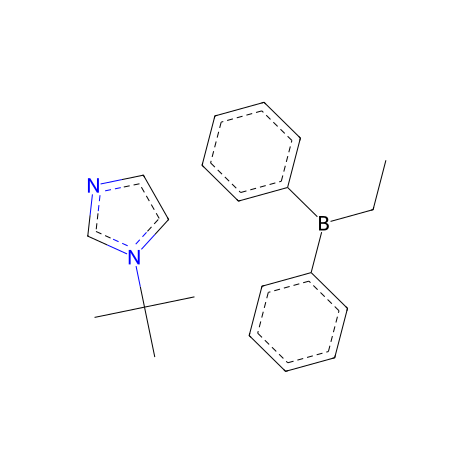 CC(C)(C)n1ccnc1.CCB(c1ccccc1)c1ccccc1